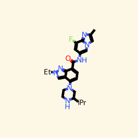 CCn1cc2c(N3CCNC(C(C)C)C3)ccc(C(=O)Nc3cc(F)c4nc(C)cn4c3)c2n1